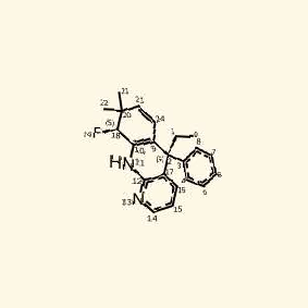 CC[C@]1(c2ccccc2)C2=C(Nc3ncccc31)[C@@H](F)C(C)(C)C=C2